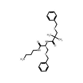 CC(C)(CSCc1ccccc1)C(=O)N[C@@H](CSCc1ccccc1)C(=O)NCCCN